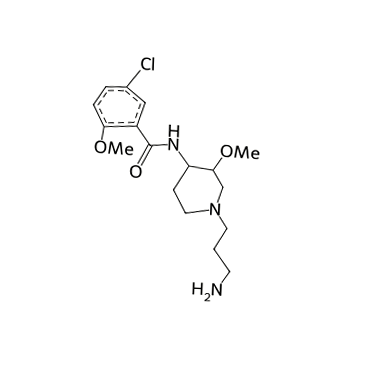 COc1ccc(Cl)cc1C(=O)NC1CCN(CCCN)CC1OC